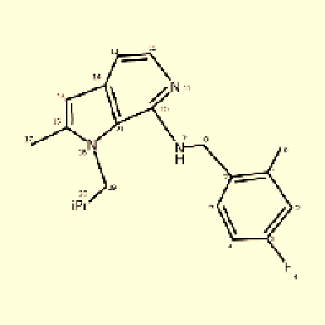 Cc1cc(F)ccc1CNc1nccc2cc(C)n(CC(C)C)c12